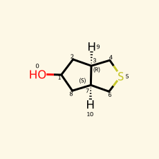 OC1C[C@H]2CSC[C@H]2C1